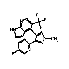 Cn1cc(-c2c(C(F)(F)F)cnc3[nH]ccc23)c(-c2ccc(F)cn2)n1